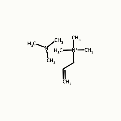 C=CC[N+](C)(C)C.CN(C)C